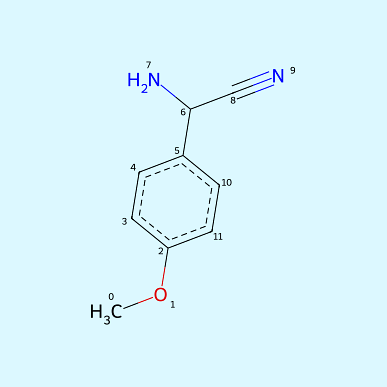 COc1ccc(C(N)C#N)cc1